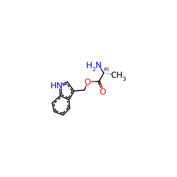 C[C@@H](N)C(=O)OCc1c[nH]c2ccccc12